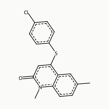 Cc1ccc2c(c1)c(Sc1ccc(Cl)cc1)cc(=O)n2C